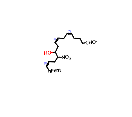 CCCCC/C=C\CC(C(O)C/C=C\C/C=C\CCC[C]=O)[N+](=O)[O-]